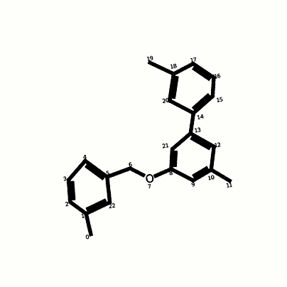 Cc1cccc(COc2cc(C)cc(-c3c[c]cc(C)c3)c2)c1